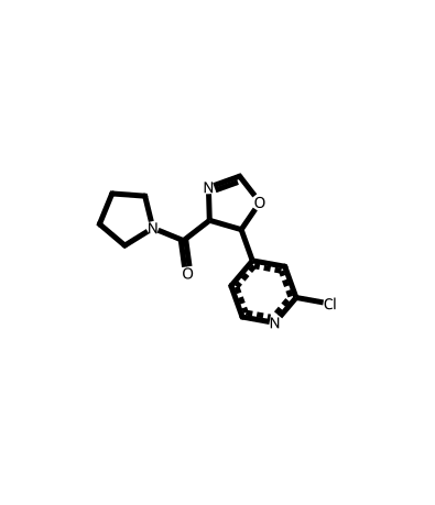 O=C(C1N=COC1c1ccnc(Cl)c1)N1CCCC1